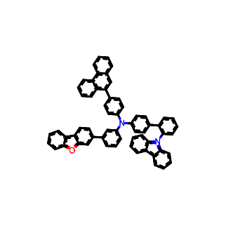 c1cc(-c2ccc3c(c2)oc2ccccc23)cc(N(c2ccc(-c3ccccc3-n3c4ccccc4c4ccccc43)cc2)c2ccc(-c3cc4ccccc4c4ccccc34)cc2)c1